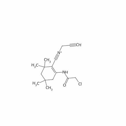 C#CC[N+]#CC1=C(NC(=O)CCl)CC(C)(C)CC1(C)C